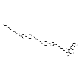 Nc1ncnc2c1c(-c1cnc3[nH]ccc3c1)nn2CCCCNC(=O)c1cnc(N2CCN(CCOCCC(=O)N3CCN(c4ncc(CNC(=O)CCOCCNC(=O)CO)cn4)CC3)CC2)nc1